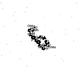 COC(=O)NC(C(=O)N1CCC[C@H]1c1ncc(-c2ccc3c(c2)cc2n3C(c3cnc(C4(C)CC4)s3)Oc3cc(-c4cnc([C@@H]5CCCN5C(=O)[C@@H](NC(=O)OC)C(C)C)[nH]4)cc(F)c3-2)[nH]1)C1CCOC(C)(C)C1